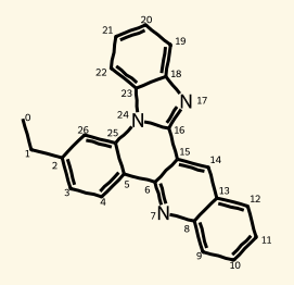 CCc1ccc2c3nc4ccccc4cc3c3nc4ccccc4n3c2c1